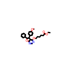 CCOC(=O)CCCCCOc1ncnc2oc(-c3ccccc3)c(-c3ccc(OC)cc3)c12